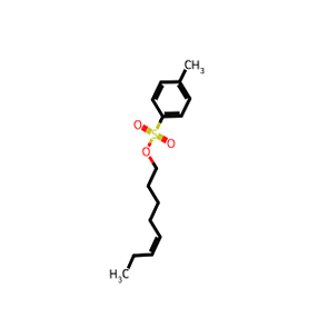 CC/C=C\CCCCOS(=O)(=O)c1ccc(C)cc1